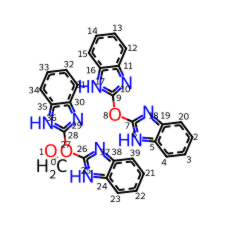 C=O.c1ccc2[nH]c(Oc3nc4ccccc4[nH]3)nc2c1.c1ccc2[nH]c(Oc3nc4ccccc4[nH]3)nc2c1